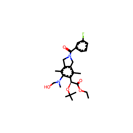 CCOC(=O)[C@@H](OC(C)(C)C)c1c(C)c2c(c(C)c1N(C)CO)CN(C(=O)c1cccc(F)c1)C2